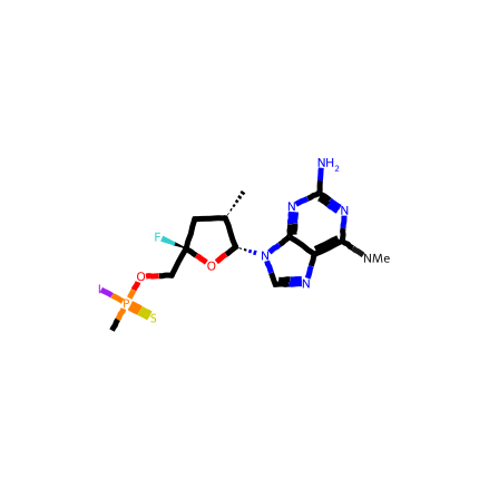 CNc1nc(N)nc2c1ncn2[C@@H]1O[C@](F)(COP(C)(=S)I)C[C@@H]1C